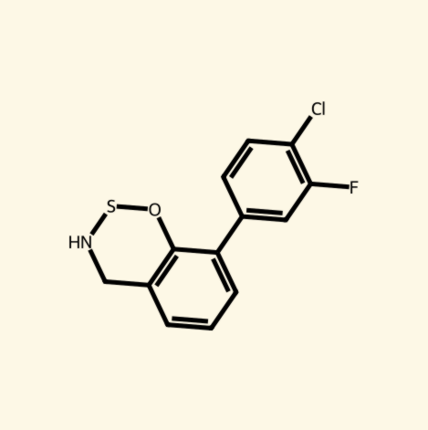 Fc1cc(-c2cccc3c2OSNC3)ccc1Cl